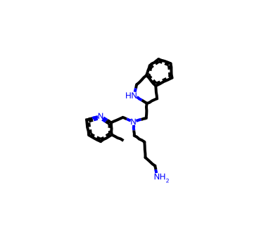 Cc1cccnc1CN(CCCCN)CC1Cc2ccccc2CN1